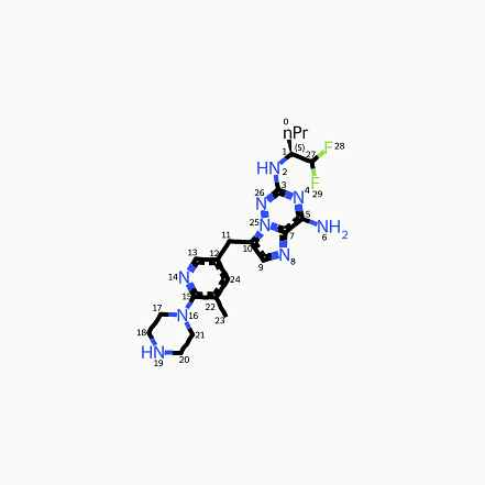 CCC[C@H](Nc1nc(N)c2ncc(Cc3cnc(N4CCNCC4)c(C)c3)n2n1)C(F)F